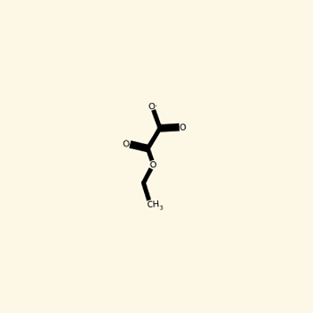 CCOC(=O)C([O])=O